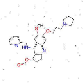 COc1cc2c(NCc3ccccn3)c3c(nc2cc1OCCCN1CCCC1)CCC3OC=O